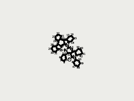 O=c1c2c(-c3ccccc3)nc(-n3c4ccccc4c4c5ccccc5c5c6ccccc6sc5c43)nc2c2ccccc2n1-c1ccccc1